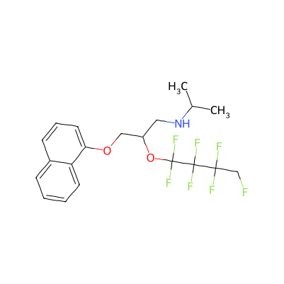 CC(C)NCC(COc1cccc2ccccc12)OC(F)(F)C(F)(F)C(F)(F)CF